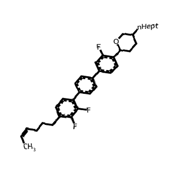 C/C=C\CCCc1ccc(-c2ccc(-c3ccc(C4CCC(CCCCCCC)CO4)c(F)c3)cc2)c(F)c1F